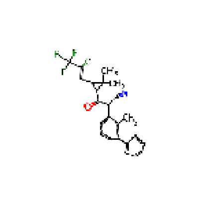 Cc1c(-c2ccccc2)cccc1C(C#N)C(=O)C1C(C=C(Cl)C(F)(F)F)C1(C)C